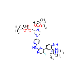 CN/C(=C1/C=C(c2nc(Nc3ccc(N4CCN(C(=O)OC(C)(C)C)C(COC(=O)OC(C)(C)C)C4)cn3)ncc2F)C=CC1=N)C(C)C